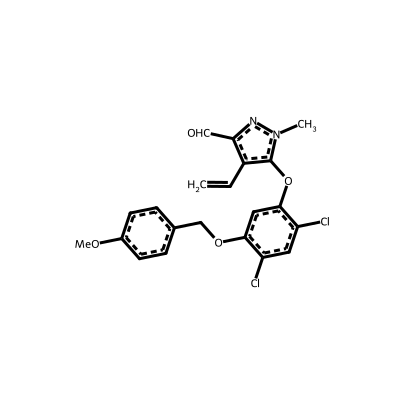 C=Cc1c(C=O)nn(C)c1Oc1cc(OCc2ccc(OC)cc2)c(Cl)cc1Cl